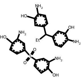 CCC(c1ccc(N)c(O)c1)c1ccc(N)c(O)c1.Nc1cc(S(=O)(=O)c2ccc(O)c(N)c2)ccc1O